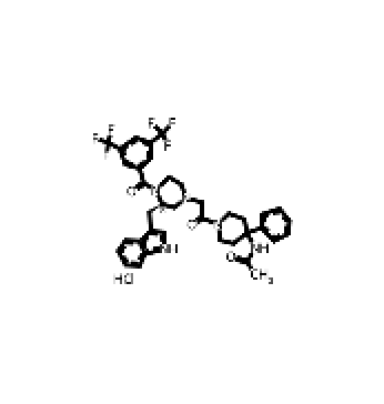 CC(=O)NC1(c2ccccc2)CCN(C(=O)CN2CCN(C(=O)c3cc(C(F)(F)F)cc(C(F)(F)F)c3)[C@H](Cc3c[nH]c4ccccc34)C2)CC1.Cl